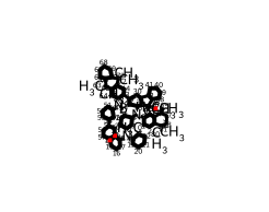 Cc1cc2c(cc1N1c3cc(N(c4ccccc4)c4ccccc4)ccc3B3c4c(cc5c(c41)C(C)(C)c1ccccc1-5)-c1cc4c(cc1N3c1cccc(-c3ccccc3)c1)C(C)(C)c1ccccc1C4(C)C)C(C)(C)CCC2(C)C